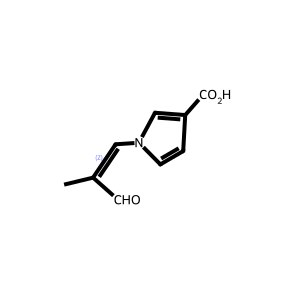 C/C(C=O)=C/n1ccc(C(=O)O)c1